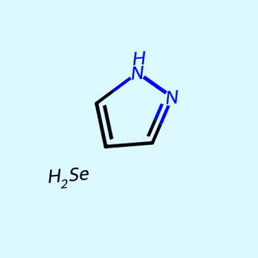 [SeH2].c1cn[nH]c1